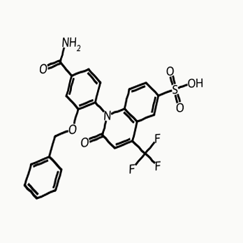 NC(=O)c1ccc(-n2c(=O)cc(C(F)(F)F)c3cc(S(=O)(=O)O)ccc32)c(OCc2ccccc2)c1